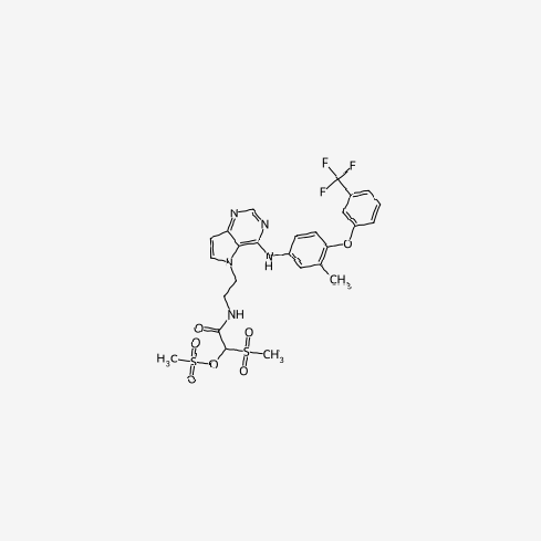 Cc1cc(Nc2ncnc3ccn(CCNC(=O)C(OS(C)(=O)=O)S(C)(=O)=O)c23)ccc1Oc1cccc(C(F)(F)F)c1